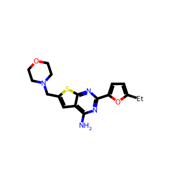 CCc1ccc(-c2nc(N)c3cc(CN4CCOCC4)sc3n2)o1